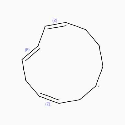 [CH]1C/C=C\C/C=C/C=C\CCC1